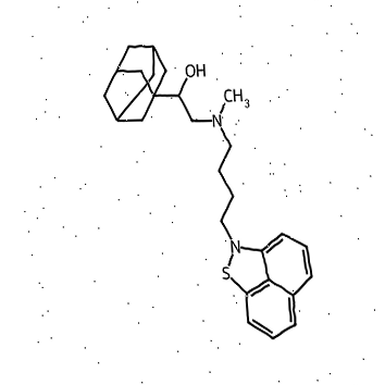 CN(CCCCN1Sc2cccc3cccc1c23)CC(O)C12CC3CC(CC(C3)C1)C2